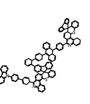 C1=CCC(C2=CCC(C3=C4C=CC=CC4C(c4ccc(-c5nc6c(c7c5C=CC5C7Sc7ccccc7C57c5ccccc5-c5ccccc57)CCC=C6)cc4)c4ccccc43)C=C2)C(c2ccc3c(c2)-c2ccccc2C32c3ccccc3Sc3c2ccc2c(C4C=CC(c5ccc(-n6c7ccccc7c7ccccc76)cc5)=CC4)nc4ccccc4c32)=C1